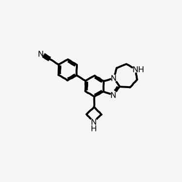 N#Cc1ccc(-c2cc(C3CNC3)c3nc4n(c3c2)CCNCC4)cc1